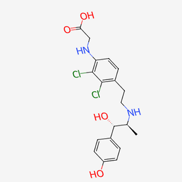 C[C@H](NCCc1ccc(NCC(=O)O)c(Cl)c1Cl)[C@@H](O)c1ccc(O)cc1